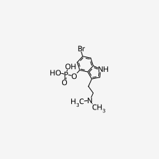 CN(C)CCc1c[nH]c2cc(Br)cc(OP(=O)(O)O)c12